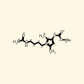 Cc1cc(OC(=O)OC(C)(C)C)c(C)n1CCCCNC(N)=O